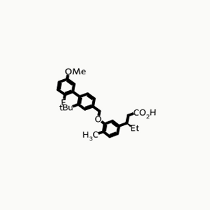 CC[C@H](CC(=O)O)c1ccc(C)c(OCc2ccc(-c3cc(OC)ccc3F)c(C(C)(C)C)c2)c1